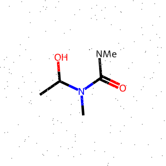 CNC(=O)N(C)C(C)O